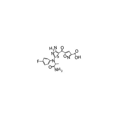 CC(C(N)=O)N(c1ccc(F)cc1)c1nc(N)c(C(=O)c2cc(C(=O)O)no2)s1